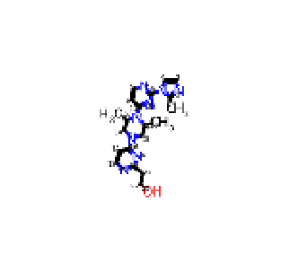 Cc1nccn1-c1nccc(N2[C@H](C)CN(c3ccnc(CCO)n3)C[C@@H]2C)n1